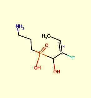 C/C=C(/F)C(O)P(=O)(O)CCCN